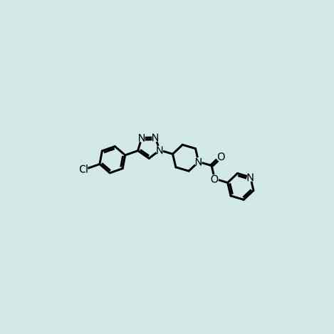 O=C(Oc1cccnc1)N1CCC(n2cc(-c3ccc(Cl)cc3)nn2)CC1